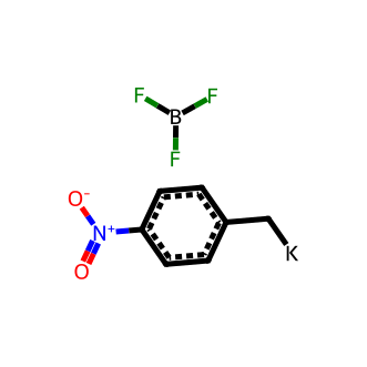 FB(F)F.O=[N+]([O-])c1ccc([CH2][K])cc1